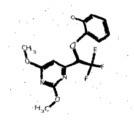 COc1cc(C(Oc2ccccc2[O])C(F)(F)F)nc(OC)n1